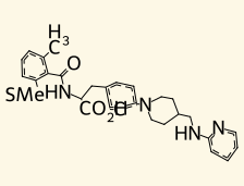 CSc1cccc(C)c1C(=O)NC(Cc1ccc(N2CCC(CNc3ccccn3)CC2)cc1)C(=O)O